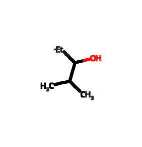 C[CH]C(O)C(C)C